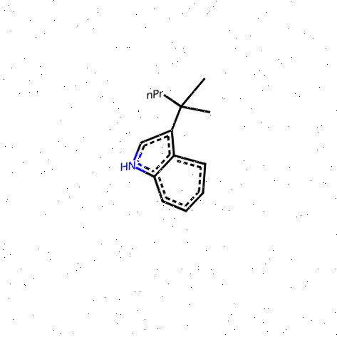 CCCC(C)(C)c1c[nH]c2ccccc12